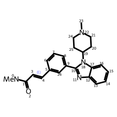 CNC(=O)/C=C/c1cccc(-c2nc3ccccc3n2C2CCN(C)CC2)c1